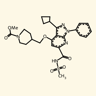 COC(=O)N1CCC(COc2cc(C(=O)NS(C)(=O)=O)nc3c2c(C2CCC2)nn3-c2ccccc2)CC1